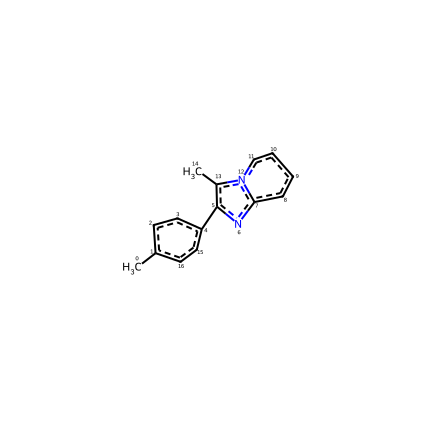 Cc1ccc(-c2nc3ccccn3c2C)cc1